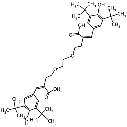 CC(C)(C)c1cc(C=C(CCOCCOCCC(=Cc2cc(C(C)(C)C)c(O)c(C(C)(C)C)c2)C(=O)O)C(=O)O)cc(C(C)(C)C)c1O